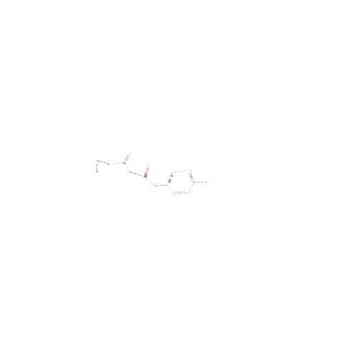 O=C(CC(=O)C1CC1)Nc1ccc(C(F)(F)F)cc1